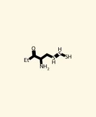 CCC(=O)C(N)C[SH]=[SH]S